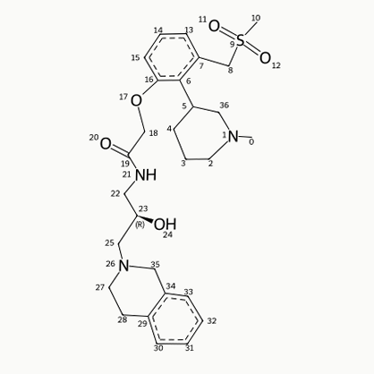 CN1CCCC(c2c(CS(C)(=O)=O)cccc2OCC(=O)NC[C@@H](O)CN2CCc3ccccc3C2)C1